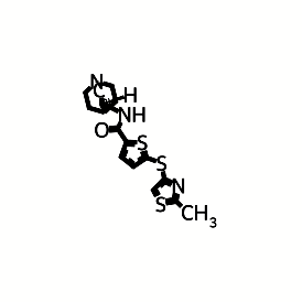 Cc1nc(Sc2ccc(C(=O)N[C@H]3CN4CCC3CC4)s2)cs1